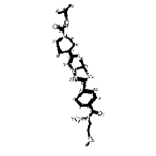 COCCN(N)C(=O)c1ccc(-c2nn3cc(C4CCN(C(=O)OC(C)C)CC4)nc3s2)cc1